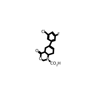 O=C1OCN(C(=O)O)C2CC=C(c3cc(F)cc(Cl)c3)CC12